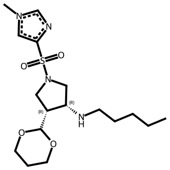 CCCCCN[C@H]1CN(S(=O)(=O)c2cn(C)cn2)C[C@H]1C1OCCCO1